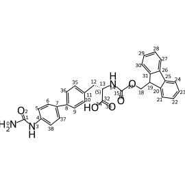 NC(=O)Nc1ccc(-c2ccc(C[C@H](NC(=O)OCC3c4ccccc4-c4ccccc43)C(=O)O)cc2)cc1